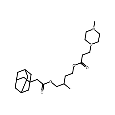 [CH2]C(CCOC(=O)CCN1CCN(C)CC1)COC(=O)CC12CC3CC(CC(C3)C1)C2